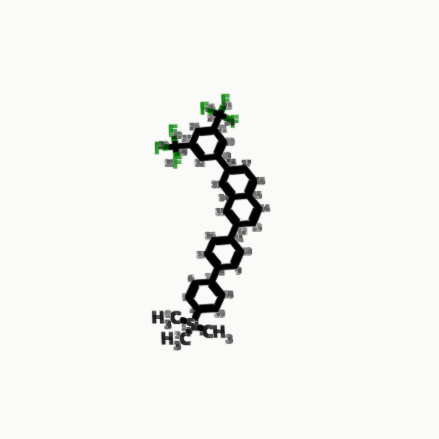 C[Si](C)(C)c1ccc(-c2ccc(-c3ccc4ccc(-c5cc(C(F)(F)F)cc(C(F)(F)F)c5)cc4c3)cc2)cc1